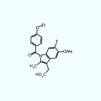 CCOc1ccc(C(=O)n2c(C)c(CC(=O)O)c3cc(OC)c(F)cc32)cc1